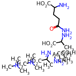 CC(=O)O.CC(=O)O.CC(N)=O.CC(N)C(=O)O.CC(N)C(=O)O.CN(C)C.CN(C)C.NC(=O)CCC(N)C(=O)O